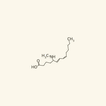 CCCCC/C=C\C=C\C(CCCC(=O)O)NC